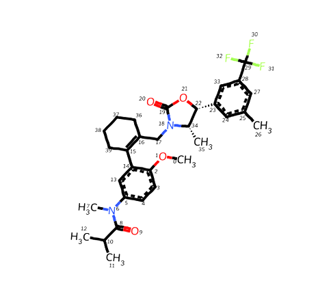 COc1ccc(N(C)C(=O)C(C)C)cc1C1=C(CN2C(=O)O[C@H](c3cc(C)cc(C(F)(F)F)c3)[C@@H]2C)CCCC1